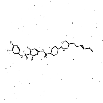 CC/C=C/CCC1COC(C2CCC(C(=O)Oc3cc(F)c(C(F)(F)Oc4ccc(F)c(F)c4)c(F)c3)CC2)OC1